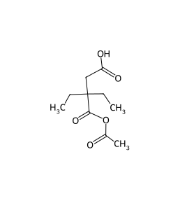 CCC(CC)(CC(=O)O)C(=O)OC(C)=O